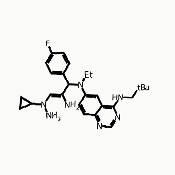 CCN(c1ccc2ncnc(NCC(C)(C)C)c2c1)C(/C(N)=C/N(N)C1CC1)c1ccc(F)cc1